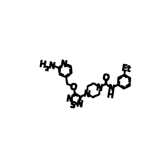 CCc1cccc(NC(=O)N2CCN(c3nsnc3OCc3ccnc(N)c3)CC2)c1